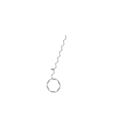 CCCCCCCCCCCCNCCC1=C/C=C\C=C/C=C\C=C/C=C\1